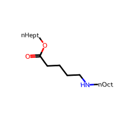 CCCCCCCCNCCCCC(=O)OCCCCCCC